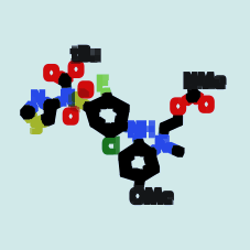 CNC(=O)OCCN(C)c1cc(OC)ccc1Nc1cc(F)c(S(=O)(=O)N(C(=O)OC(C)(C)C)c2cscn2)cc1Cl